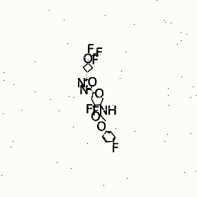 O=C(COc1ccc(F)cc1)N[C@@H]1CO[C@@H](c2nnc([C@H]3C[C@@H](OC(F)(F)F)C3)o2)CC1(F)F